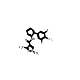 Cc1c(F)cc(-c2ccccc2NC(=O)c2cn(C)nc2C(F)(F)F)cc1F